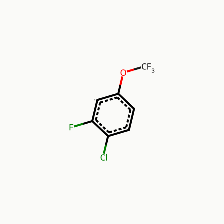 Fc1[c]c(OC(F)(F)F)ccc1Cl